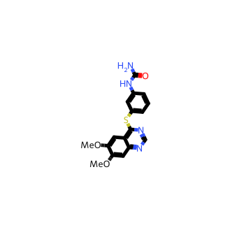 COc1cc2ncnc(Sc3cccc(NC(N)=O)c3)c2cc1OC